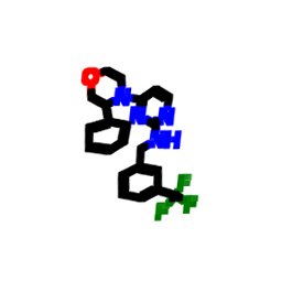 FC(F)(F)c1cccc(CNc2nccc(N3CCOCC3c3ccccc3)n2)c1